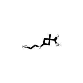 CC1(C(=O)O)CC(OCCO)C1